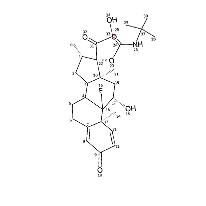 C[C@H]1CC2C3CCC4=CC(=O)C=C[C@]4(C)C3(F)[C@@H](O)C[C@]2(C)[C@]1(OC(=O)NC(C)(C)C)C(=O)CO